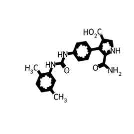 Cc1ccc(C)c(NC(=O)Nc2ccc(-c3c(C(=O)O)c[nH]c3C(N)=O)cc2)c1